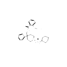 COc1ccccc1C(=O)NCC1(c2ccccc2)CCN(S(=O)(=O)NC2CCCCC2)CC1